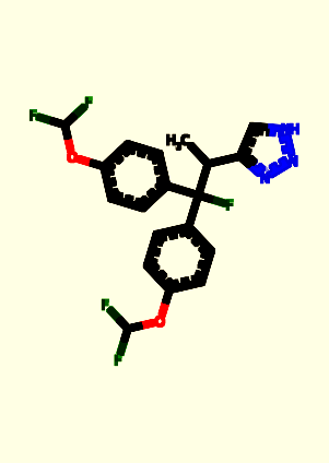 CC(c1c[nH]nn1)C(F)(c1ccc(OC(F)F)cc1)c1ccc(OC(F)F)cc1